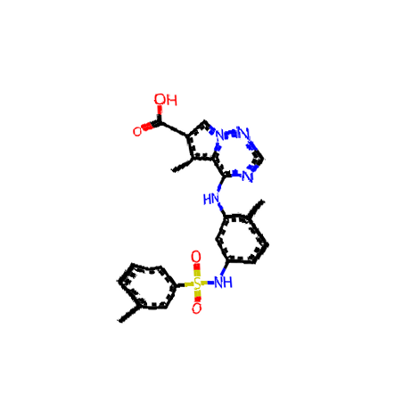 Cc1cccc(S(=O)(=O)Nc2ccc(C)c(Nc3ncnn4cc(C(=O)O)c(C)c34)c2)c1